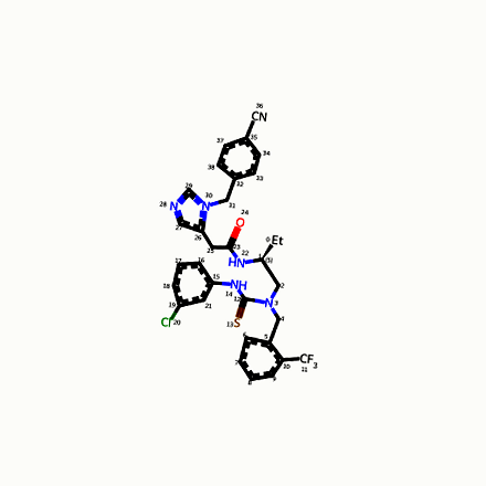 CC[C@@H](CN(Cc1ccccc1C(F)(F)F)C(=S)Nc1cccc(Cl)c1)NC(=O)Cc1cncn1Cc1ccc(C#N)cc1